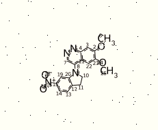 COc1cc2nncc(N3CCc4ccc([N+](=O)[O-])cc43)c2cc1OC